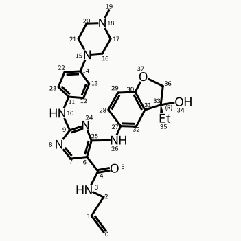 C=CCNC(=O)c1cnc(Nc2ccc(N3CCN(C)CC3)cc2)nc1Nc1ccc2c(c1)[C@](O)(CC)CO2